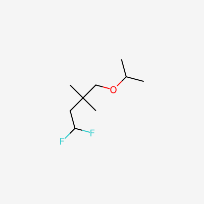 CC(C)OCC(C)(C)CC(F)F